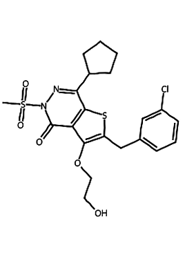 CS(=O)(=O)n1nc(C2CCCC2)c2sc(Cc3cccc(Cl)c3)c(OCCO)c2c1=O